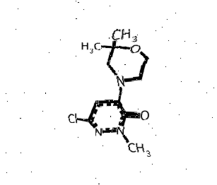 Cn1nc(Cl)cc(N2CCOC(C)(C)C2)c1=O